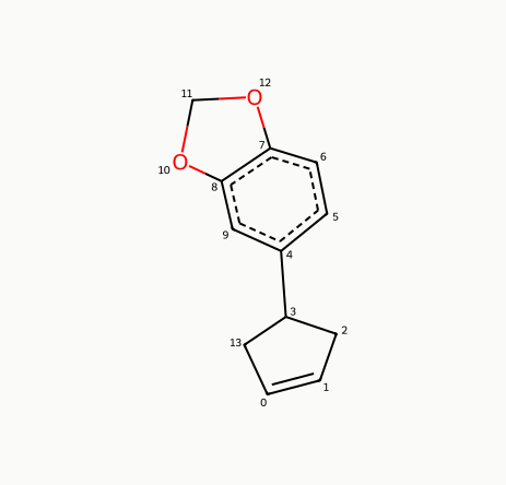 C1=CCC(c2ccc3c(c2)OCO3)C1